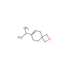 CC(C)C1=CCC2(CC1)COC2